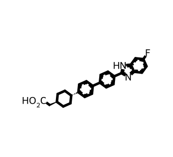 O=C(O)C[C@H]1CC[C@H](c2ccc(-c3ccc(-c4nc5ccc(F)cc5[nH]4)cc3)cc2)CC1